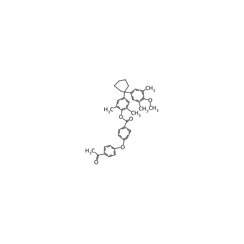 COc1c(C)cc(C2(c3cc(C)c(OC(=O)c4ccc(Oc5ccc(C(C)=O)cc5)cc4)c(C)c3)CCCCC2)cc1C